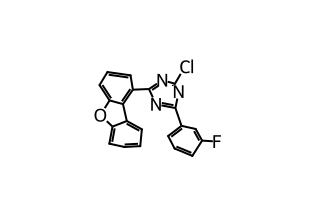 Fc1cccc(-c2nc(Cl)nc(-c3cccc4oc5ccccc5c34)n2)c1